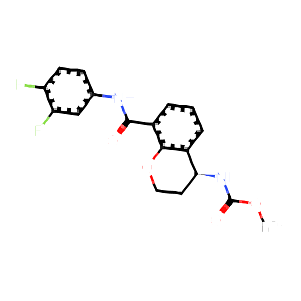 CCCOC(=O)N[C@H]1CCOc2c(C(=O)Nc3ccc(F)c(F)c3)cccc21